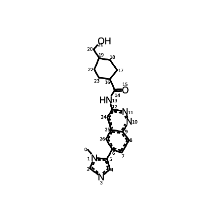 Cn1cncc1-c1ccc2nnc(NC(=O)C3CCC(CO)CC3)cc2c1